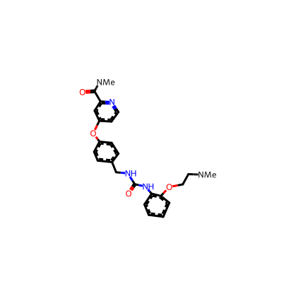 CNCCOc1ccccc1NC(=O)NCc1ccc(Oc2ccnc(C(=O)NC)c2)cc1